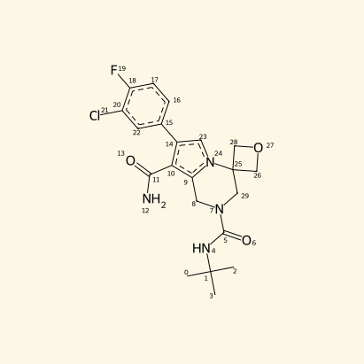 CC(C)(C)NC(=O)N1Cc2c(C(N)=O)c(-c3ccc(F)c(Cl)c3)cn2C2(COC2)C1